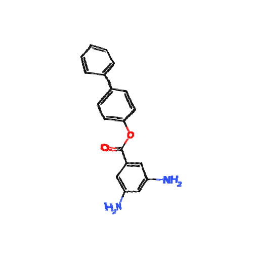 Nc1cc(N)cc(C(=O)Oc2ccc(-c3ccccc3)cc2)c1